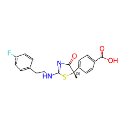 C[C@@]1(c2ccc(C(=O)O)cc2)SC(NCCc2ccc(F)cc2)=NC1=O